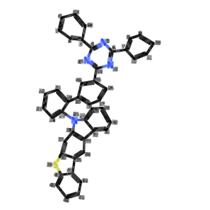 c1ccc(-c2nc(-c3ccccc3)nc(-c3cccc(-c4ccccc4-n4c5ccccc5c5cc6c(cc54)sc4ccccc46)c3)n2)cc1